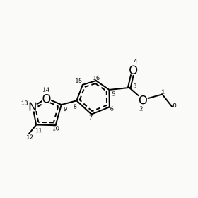 CCOC(=O)c1ccc(-c2cc(C)no2)cc1